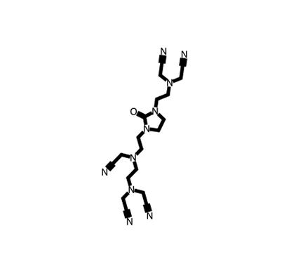 N#CCN(CC#N)CCN(CC#N)CCN1CCN(CCN(CC#N)CC#N)C1=O